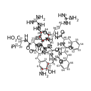 CCC(NC(Cc1ccc(O)cc1)C(=O)NC(C(=O)NC(CC(C)C)C(=O)O)C(C)CC)C(=O)C(CCCNC(=N)N)NC(=O)C(CCCNC(=N)N)NC(=O)C(Cc1ccccc1)NC(=O)C(Cc1ccccc1)NC(=O)[C@@H](CCCCN)NC(=O)C(N)Cc1ccc(O)cc1